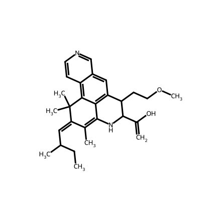 C=C(O)C1NC2=C(C)/C(=C\C(C)CC)C(C)(C)c3c2c(cc2cnccc32)C1CCOC